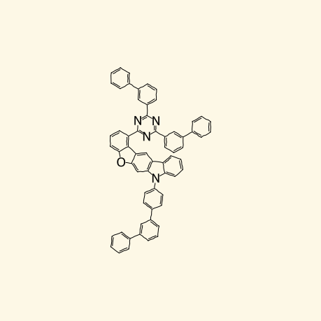 c1ccc(-c2cccc(-c3ccc(-n4c5ccccc5c5cc6c(cc54)oc4cccc(-c5nc(-c7cccc(-c8ccccc8)c7)nc(-c7cccc(-c8ccccc8)c7)n5)c46)cc3)c2)cc1